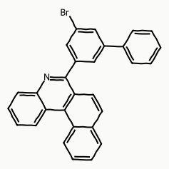 Brc1cc(-c2ccccc2)cc(-c2nc3ccccc3c3c2ccc2ccccc23)c1